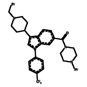 CC(C)CN1CCC(c2cn(-c3ccc(C(F)(F)F)cc3)c3cc(C(=O)N4CCN(C(C)C)CC4)ccc23)CC1